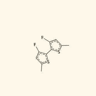 Cc1cc(F)c(-c2sc(C)cc2F)s1